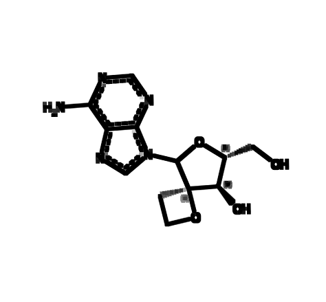 Nc1ncnc2c1ncn2C1O[C@H](CO)[C@@H](O)[C@]12CCO2